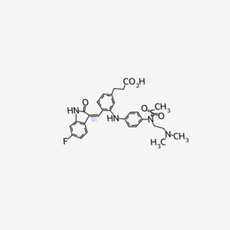 CN(C)CCN(c1ccc(Nc2cc(CCC(=O)O)ccc2/C=C2\C(=O)Nc3cc(F)ccc32)cc1)S(C)(=O)=O